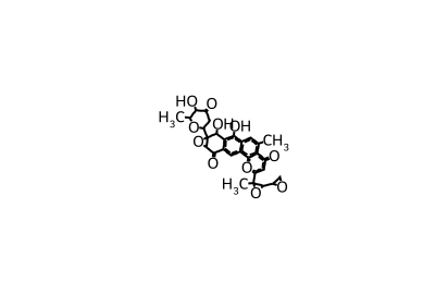 Cc1cc2c(O)c3c(cc2c2oc(C4(C)OC4C4CO4)cc(=O)c12)C(=O)C1OC1(C1CC(=O)C(O)C(C)O1)C3O